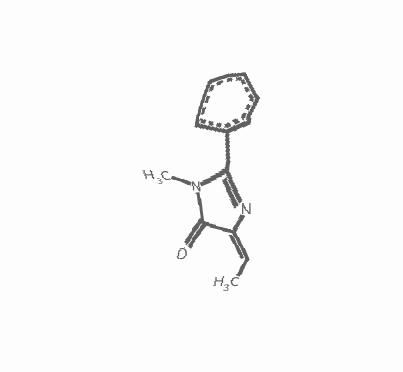 C/C=C1/N=C(c2ccccc2)N(C)C1=O